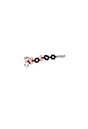 CCCCCCCc1ccc(-c2ccc(C(=O)Oc3ccc(C(=O)OC(C(=O)OCCC)C(F)(F)F)cc3)cc2)cc1